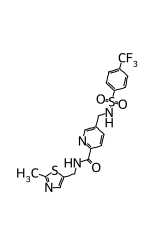 Cc1ncc(CNC(=O)c2ccc(CNS(=O)(=O)c3ccc(C(F)(F)F)cc3)cn2)s1